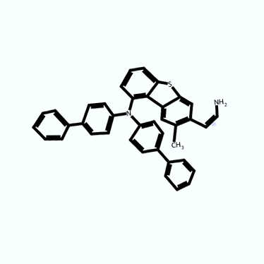 Cc1cc2c(cc1/C=C\N)sc1cccc(N(c3ccc(-c4ccccc4)cc3)c3ccc(-c4ccccc4)cc3)c12